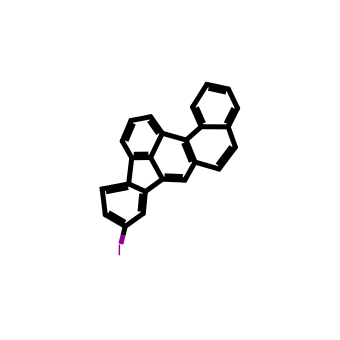 Ic1ccc2c(c1)-c1cc3ccc4ccccc4c3c3cccc-2c13